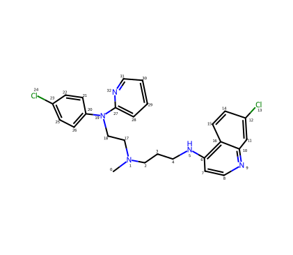 CN(CCCNc1ccnc2cc(Cl)ccc12)CCN(c1ccc(Cl)cc1)c1ccccn1